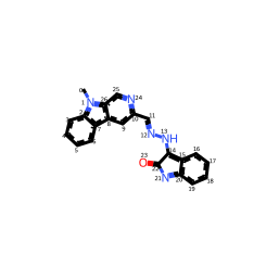 Cn1c2ccccc2c2cc(C=NNC3=c4ccccc4=NC3=O)ncc21